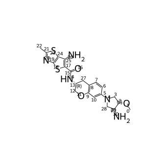 CO[C@H]1CN(c2ccc3c(c2)OC[C@H](NC(=O)c2sc4nc(C)sc4c2N)C3)C[C@H]1N